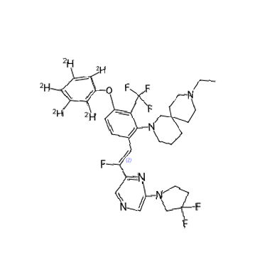 [2H]c1c([2H])c([2H])c(Oc2ccc(/C=C(\F)c3cncc(N4CCC(F)(F)C4)n3)c(N3CCCC4(CCN(CC)CC4)C3)c2C(F)(F)F)c([2H])c1[2H]